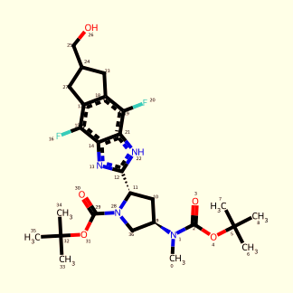 CN(C(=O)OC(C)(C)C)[C@@H]1C[C@@H](c2nc3c(F)c4c(c(F)c3[nH]2)CC(CO)C4)N(C(=O)OC(C)(C)C)C1